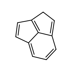 C1=Cc2cccc3c2=C1CC=3